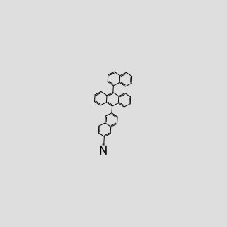 N#Cc1ccc2cc(-c3c4ccccc4c(-c4cccc5ccccc45)c4ccccc34)ccc2c1